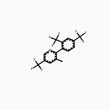 Cc1cc(C(F)(F)F)cnc1-c1ccc(C(F)(F)F)cc1C(F)(F)F